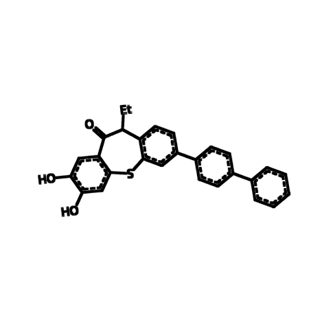 CCC1C(=O)c2cc(O)c(O)cc2Sc2cc(-c3ccc(-c4ccccc4)cc3)ccc21